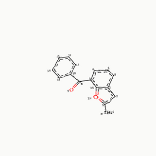 CC(C)(C)c1cc2cccc(C(=O)c3ccccc3)c2o1